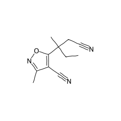 CCC(C)(CC#N)c1onc(C)c1C#N